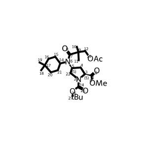 COC(=O)[C@@H]1C[C@H](N(C(=O)C(C)(C)COC(C)=O)C2CCC(C)(C)CC2)CN1C(=O)OC(C)(C)C